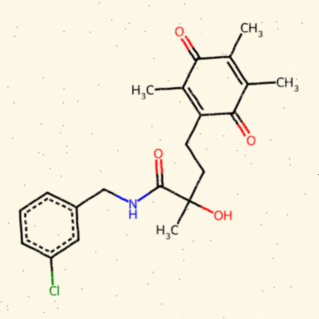 CC1=C(C)C(=O)C(CCC(C)(O)C(=O)NCc2cccc(Cl)c2)=C(C)C1=O